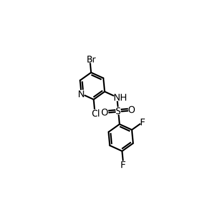 O=S(=O)(Nc1cc(Br)cnc1Cl)c1ccc(F)cc1F